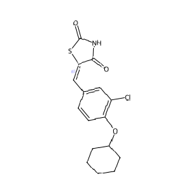 O=C1NC(=O)/C(=C\c2ccc(OC3CCCCC3)c(Cl)c2)S1